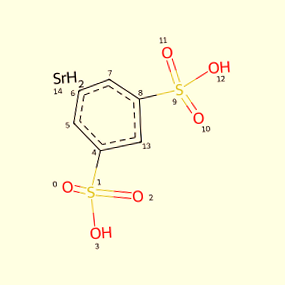 O=S(=O)(O)c1cccc(S(=O)(=O)O)c1.[SrH2]